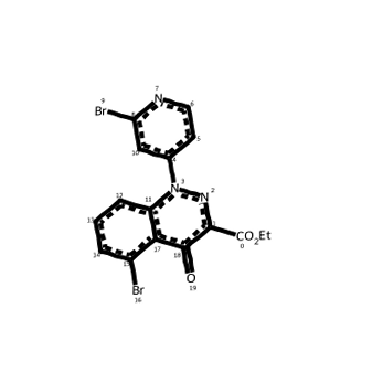 CCOC(=O)c1nn(-c2ccnc(Br)c2)c2cccc(Br)c2c1=O